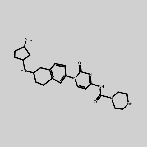 N[C@@H]1CC[C@H](NC2CCc3cc(-n4ccc(NC(=O)N5CCNCC5)nc4=O)ccc3C2)C1